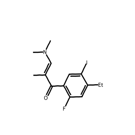 CCc1cc(F)c(C(=O)C(C)=CN(C)C)cc1I